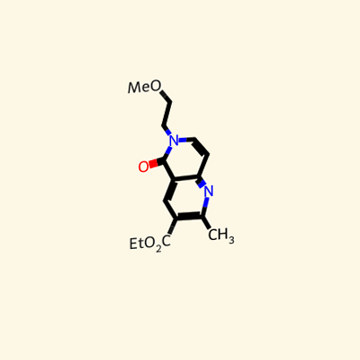 CCOC(=O)c1cc2c(=O)n(CCOC)ccc2nc1C